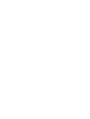 CC1(CCCCCCC(=O)O)OCCO1